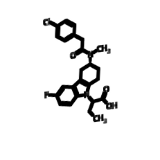 CCC(C(=O)O)n1c2c(c3cc(F)ccc31)C[C@@H](N(C)C(=O)Cc1ccc(Cl)cc1)CC2